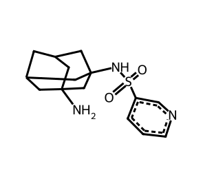 NC12CC3CC(C1)CC(NS(=O)(=O)c1cccnc1)(C3)C2